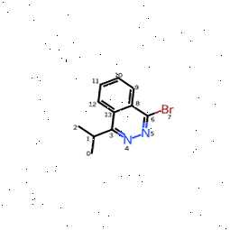 CC(C)c1nnc(Br)c2ccccc12